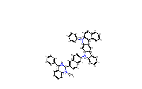 CN1c2ccccc2C(c2ccccc2)=NC1c1ccc2cc(-n3c4ccccc4c4cc5c6c7ccccc7ccc6n(-c6ccccc6)c5cc43)ccc2c1